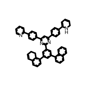 C1=CCNC(c2ccc(-c3cc(-c4ccc(-c5ccccn5)cc4)nc(-c4cc(-c5cccc6c5CCC=C6)cc(-c5cccc6ccccc56)c4)n3)cc2)=C1